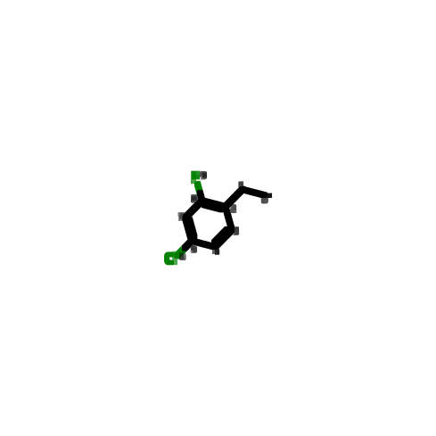 [CH2]Cc1ccc(Cl)cc1F